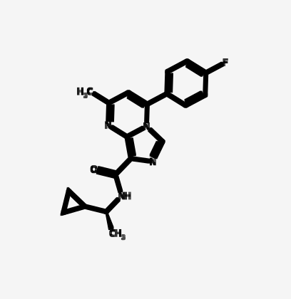 Cc1cc(-c2ccc(F)cc2)n2cnc(C(=O)N[C@@H](C)C3CC3)c2n1